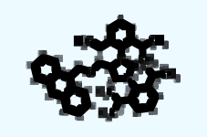 C=Cc1cccc(C(C)C)c1N1CN(c2c(C(C)C)cccc2C(C)C)CC1COCc1c2ccccc2cc2ccccc12